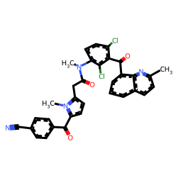 Cc1ccc2cccc(C(=O)c3c(Cl)ccc(N(C)C(=O)Cc4ccc(C(=O)c5ccc(C#N)cc5)n4C)c3Cl)c2n1